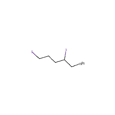 CCCCC(I)CCCI